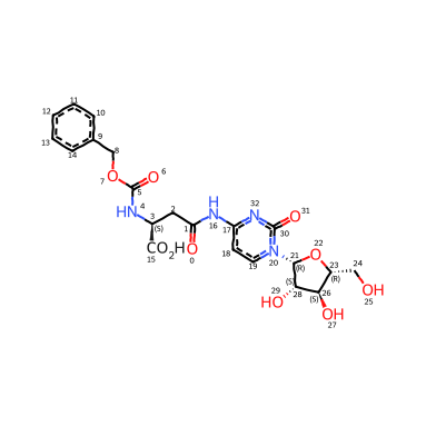 O=C(C[C@H](NC(=O)OCc1ccccc1)C(=O)O)Nc1ccn([C@@H]2O[C@H](CO)[C@@H](O)[C@@H]2O)c(=O)n1